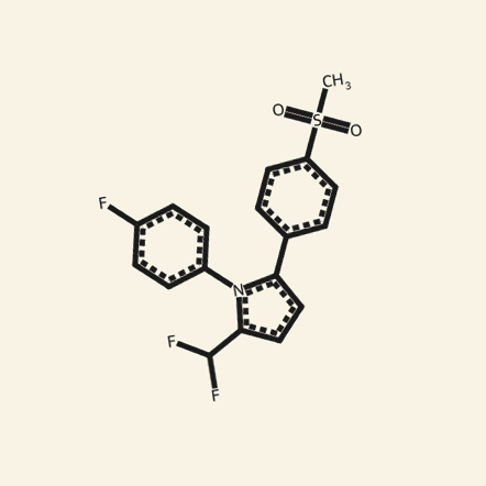 CS(=O)(=O)c1ccc(-c2ccc(C(F)F)n2-c2ccc(F)cc2)cc1